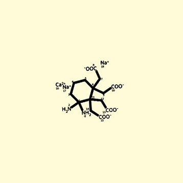 NC1(N)CCCC(CC(=O)[O-])(CC(=O)[O-])C1(CC(=O)[O-])CC(=O)[O-].[Ca+2].[Na+].[Na+]